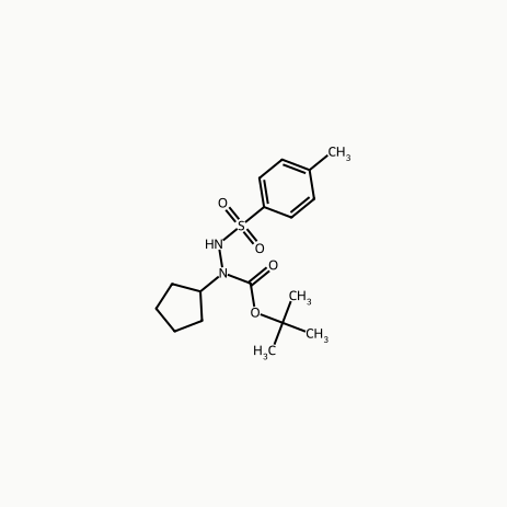 Cc1ccc(S(=O)(=O)NN(C(=O)OC(C)(C)C)C2CCCC2)cc1